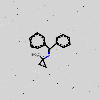 CCOC(=O)C1(N=C(c2ccccc2)c2ccccc2)CC1